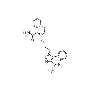 NC(=O)c1c(CCCCn2cnc3c(N)nc4ccccc4c32)ccc2ccccc12